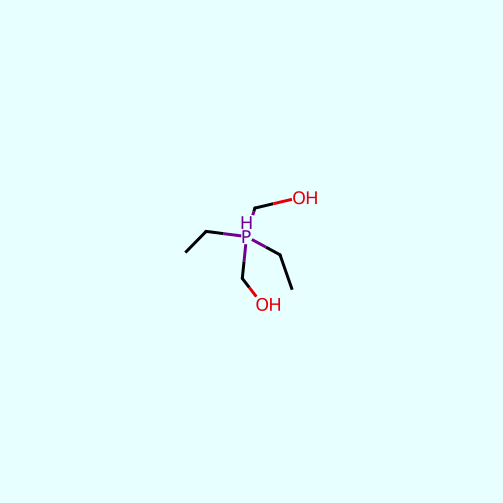 CC[PH](CC)(CO)CO